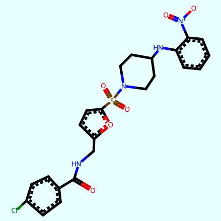 O=C(NCc1ccc(S(=O)(=O)N2CCC(Nc3ccccc3[N+](=O)[O-])CC2)o1)c1ccc(Cl)cc1